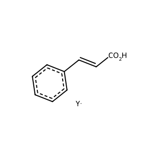 O=C(O)C=Cc1ccccc1.[Y]